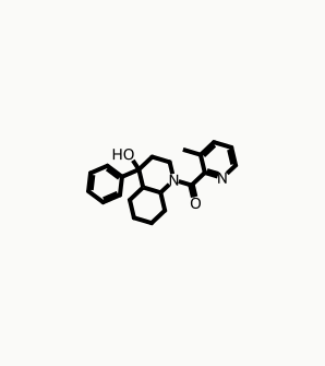 Cc1cccnc1C(=O)N1CCC(O)(c2ccccc2)C2CCCCC21